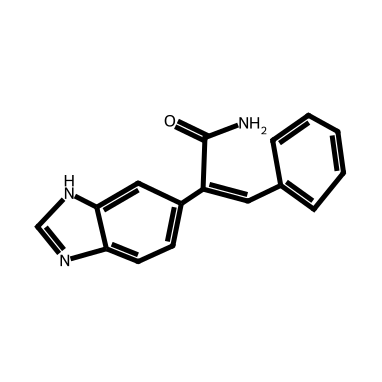 NC(=O)/C(=C\c1ccccc1)c1ccc2nc[nH]c2c1